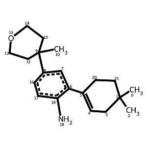 CC1(C)CC=C(c2cc(C3(C)CCOCC3)ccc2N)CC1